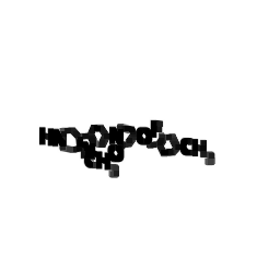 Cc1ccc(COc2ccn(-c3ccc4c5c(n(C)c4c3)CCNCC5)c(=O)c2)c(F)c1